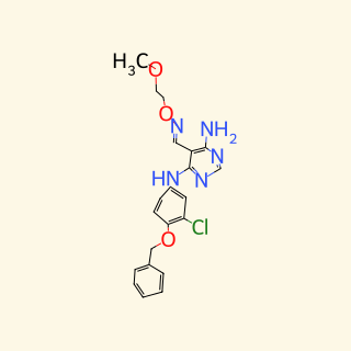 COCCON=Cc1c(N)ncnc1Nc1ccc(OCc2ccccc2)c(Cl)c1